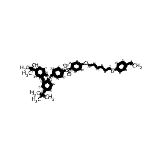 C=Cc1ccc(OCCCCCCOc2ccc(S(=O)(=O)c3ccc(-n4c5ccc(C(C)(C)C)cc5c5cc(C(C)(C)C)ccc54)cc3)cc2)cc1